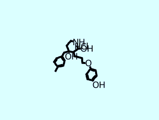 Cc1ccc(CC2(O)CCNC(O)C2CCCOc2ccc(O)cc2)cc1.Cl